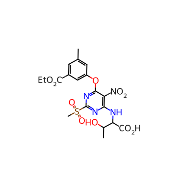 CCOC(=O)c1cc(C)cc(Oc2nc(S(C)(=O)=O)nc(NC(C(=O)O)C(C)O)c2[N+](=O)[O-])c1